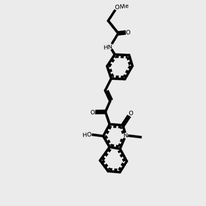 COCC(=O)Nc1cccc(C=CC(=O)c2c(O)c3ccccc3n(C)c2=O)c1